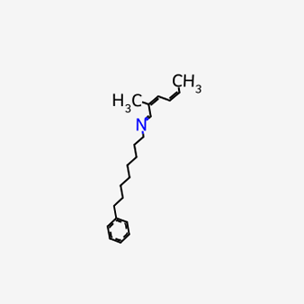 C\C=C/C=C(C)\C=N\CCCCCCCCc1ccccc1